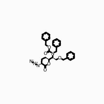 [N-]=[N+]=N[C@@H]1CC[C@@H]([C@H](COCc2ccccc2)N(Cc2ccccc2)C(=O)OCc2ccccc2)OC1=O